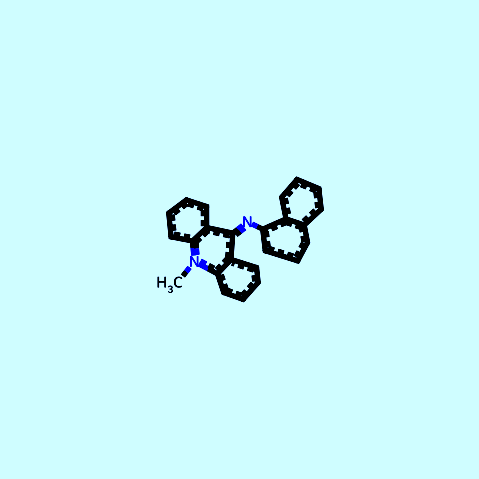 Cn1c2ccccc2c(=Nc2cccc3ccccc23)c2ccccc21